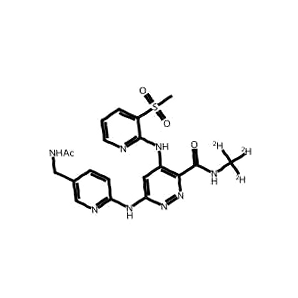 [2H]C([2H])([2H])NC(=O)c1nnc(Nc2ccc(CNC(C)=O)cn2)cc1Nc1ncccc1S(C)(=O)=O